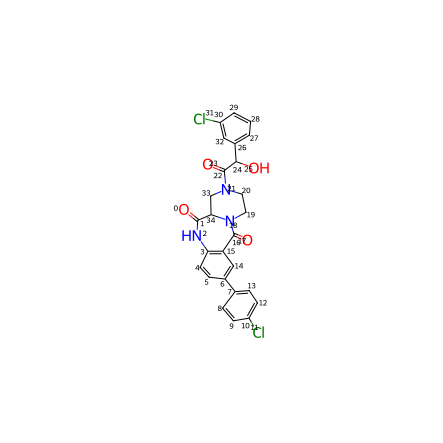 O=C1Nc2ccc(-c3ccc(Cl)cc3)cc2C(=O)N2CCN(C(=O)C(O)c3cccc(Cl)c3)CC12